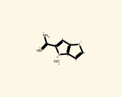 Cl.N=C(N)c1cc2sccc2s1